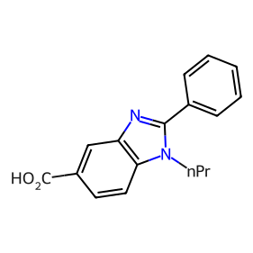 CCCn1c(-c2ccccc2)nc2cc(C(=O)O)ccc21